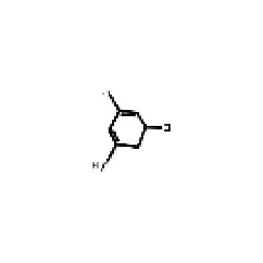 CC1=CC(Cl)=CC(Cl)C1